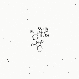 CCCC(=O)C(CC)(Oc1cc(N2C(=O)C3=C(CCCC3)C2=O)ccc1Br)C(=O)S